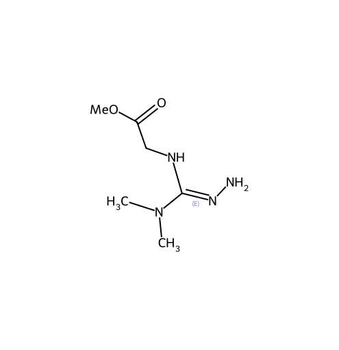 COC(=O)CN/C(=N\N)N(C)C